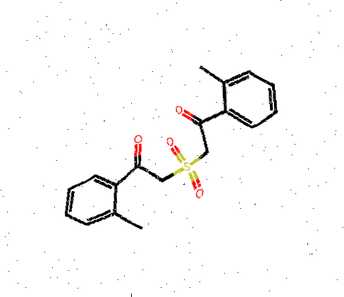 Cc1ccccc1C(=O)CS(=O)(=O)CC(=O)c1ccccc1C